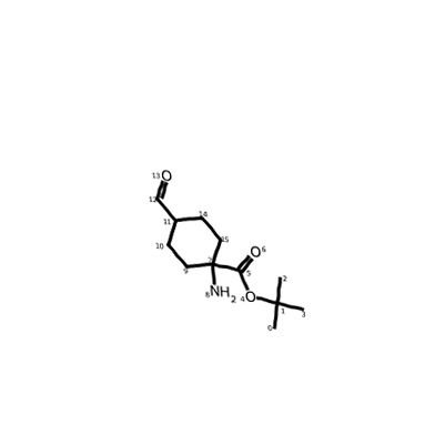 CC(C)(C)OC(=O)C1(N)CCC(C=O)CC1